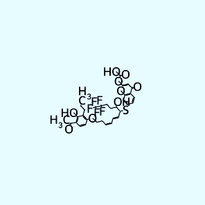 CCCc1c(OCC/C=C\C=C\[C@H](Sc2ccc3c(=O)cc(OC(=O)O)oc3c2)[C@H](O)CCC(F)(F)C(F)(F)F)ccc(C(C)=O)c1O